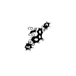 O=C(O)C=CC(=O)O.O=C1c2cc(O[C@@H]3CN4CCC3CC4)ccc2-c2ccc(O[C@@H]3CN4CCC3CC4)cc21